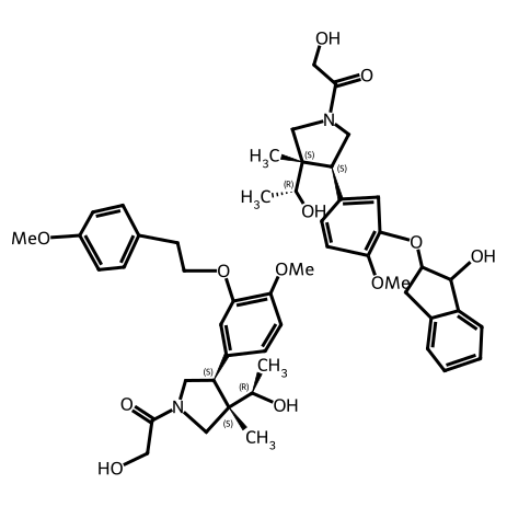 COc1ccc(CCOc2cc([C@@H]3CN(C(=O)CO)C[C@@]3(C)[C@@H](C)O)ccc2OC)cc1.COc1ccc([C@@H]2CN(C(=O)CO)C[C@@]2(C)[C@@H](C)O)cc1OC1Cc2ccccc2C1O